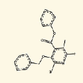 Cc1c(F)nc(Br)c(OCc2ccccc2)c1C(=O)Oc1ccccc1